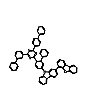 c1ccc(-c2ccc(-c3nc(-c4cccc(-c5ccccc5)c4)nc(-c4ccc(-n5c6ccccc6c6ccc(-c7cccc8c7oc7ccccc78)cc65)cc4-c4ccccc4)n3)cc2)cc1